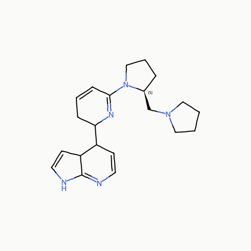 C1=CC(N2CCC[C@H]2CN2CCCC2)=NC(C2C=CN=C3NC=CC32)C1